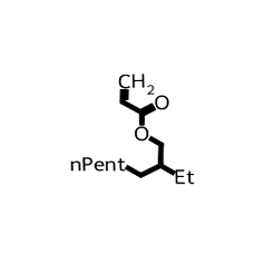 C=CC(=O)OCC(CC)CCCCCC